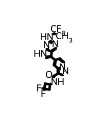 C[C@H](Nc1ncc2c(-c3ccn4ncc(C(=O)NC5CC(F)(F)C5)c4c3)c[nH]c2n1)C(F)(F)F